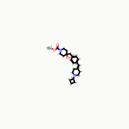 CC(C)(C)OC(=O)N1CCC(O)(Cc2ccc(C=C3CCN(C4CCC4)CC3)cc2)CC1